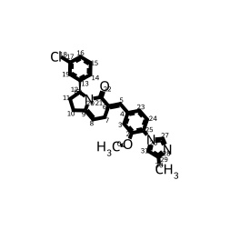 COc1cc(C=C2CC=C3CC[C@@H](c4cccc(Cl)c4)N3C2=O)ccc1-n1cnc(C)c1